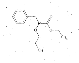 CCOC(=O)N(Cc1ccccc1)OCCO